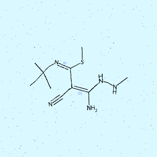 CNN/C(N)=C(C#N)\C(=N/C(C)(C)C)SC